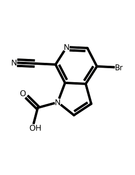 N#Cc1ncc(Br)c2ccn(C(=O)O)c12